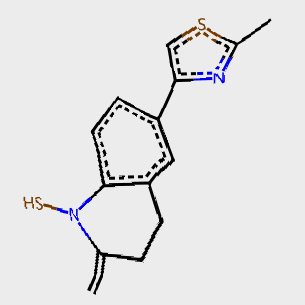 C=C1CCc2cc(-c3csc(C)n3)ccc2N1S